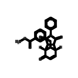 COC(=O)c1cccc(CN2[C@@H]3C(=O)C=C[C@H]2C2C(=O)N(c4ccccc4)C(=O)C23)c1